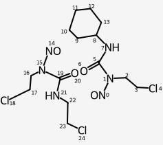 O=NN(CCCl)C(=O)NC1CCCCC1.O=NN(CCCl)C(=O)NCCCl